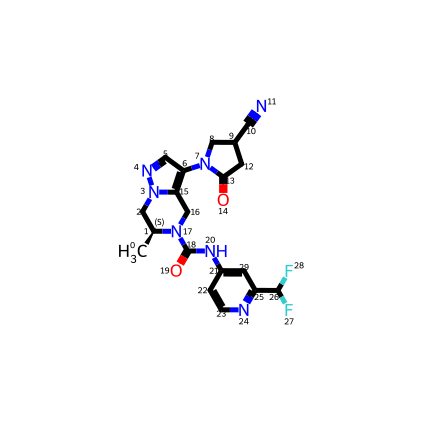 C[C@H]1Cn2ncc(N3CC(C#N)CC3=O)c2CN1C(=O)Nc1ccnc(C(F)F)c1